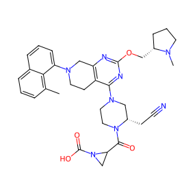 Cc1cccc2cccc(N3CCc4c(nc(OC[C@@H]5CCCN5C)nc4N4CCN(C(=O)C5CN5C(=O)O)[C@@H](CC#N)C4)C3)c12